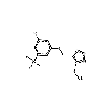 CCc1ncsc1CSc1cc(O)cc(C(F)(F)F)c1